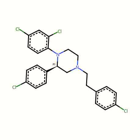 Clc1ccc(CCN2CCN(c3ccc(Cl)cc3Cl)[C@H](c3ccc(Cl)cc3)C2)cc1